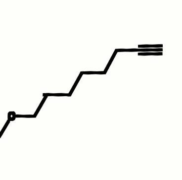 C#CCCCC[CH]COC